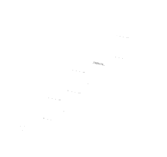 CCCC1CCC(/C=C/C2CCC(C3CCC(OC)OC3)CC2)CC1